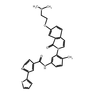 Cc1ccc(NC(=O)c2ccnc(-c3cccs3)c2)cc1-n1ccc2ccc(OCCN(C)C)cc2c1=O